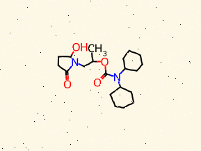 CC(CN1C(=O)CCC1O)OC(=O)N(C1CCCCC1)C1CCCCC1